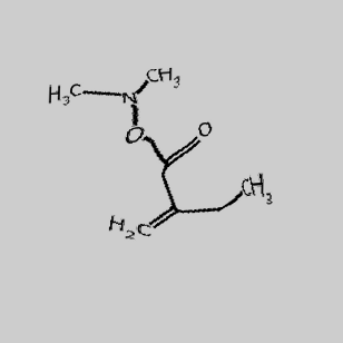 C=C(CC)C(=O)ON(C)C